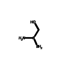 BB(N)CO